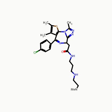 CNCCNCCCNC(=O)CC1N=C(c2ccc(Cl)cc2)c2c(sc(C)c2C)-n2c(C)nnc21